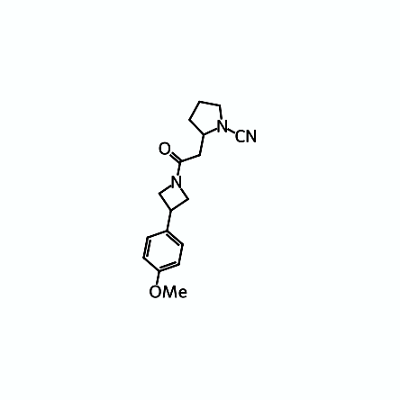 COc1ccc(C2CN(C(=O)CC3CCCN3C#N)C2)cc1